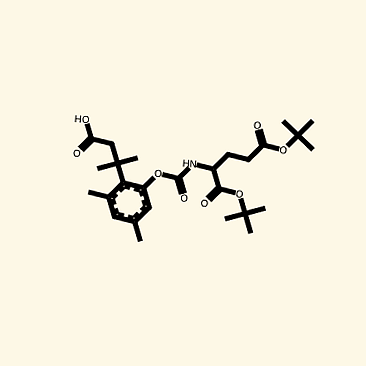 Cc1cc(C)c(C(C)(C)CC(=O)O)c(OC(=O)NC(CCC(=O)OC(C)(C)C)C(=O)OC(C)(C)C)c1